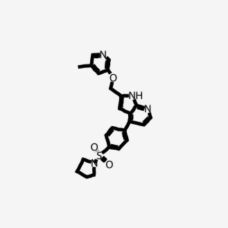 Cc1cncc(OCc2cc3c(-c4ccc(S(=O)(=O)N5CCCC5)cc4)ccnc3[nH]2)c1